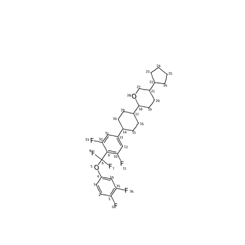 Fc1ccc(OC(F)(F)c2c(F)cc(C3CCC(C4CCC(C5CCCC5)CO4)CC3)cc2F)cc1F